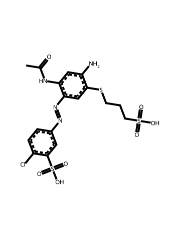 CC(=O)Nc1cc(N)c(SCCCS(=O)(=O)O)cc1N=Nc1ccc(Cl)c(S(=O)(=O)O)c1